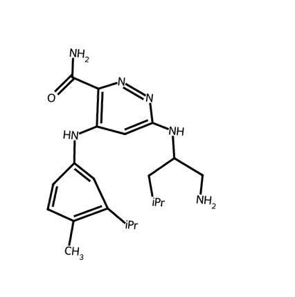 Cc1ccc(Nc2cc(NC(CN)CC(C)C)nnc2C(N)=O)cc1C(C)C